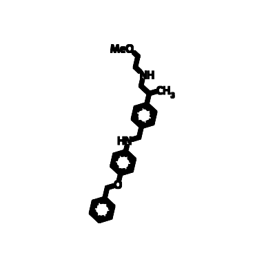 COCCNCC(C)c1ccc(CNc2ccc(OCc3ccccc3)cc2)cc1